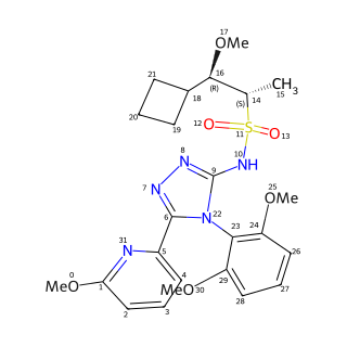 COc1cccc(-c2nnc(NS(=O)(=O)[C@@H](C)[C@H](OC)C3CCC3)n2-c2c(OC)cccc2OC)n1